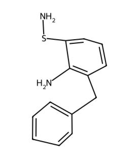 NSc1cccc(Cc2ccccc2)c1N